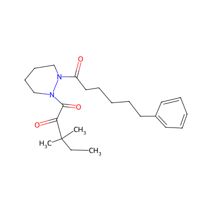 CCC(C)(C)C(=O)C(=O)N1CCCCN1C(=O)CCCCCc1ccccc1